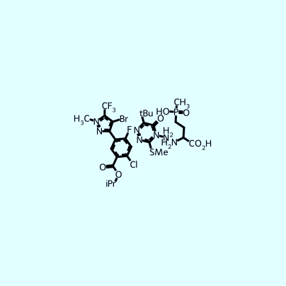 CC(C)OC(=O)c1cc(-c2nn(C)c(C(F)(F)F)c2Br)c(F)cc1Cl.CP(=O)(O)CCC(N)C(=O)O.CSc1nnc(C(C)(C)C)c(=O)n1N